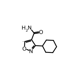 NC(=O)c1[c]onc1C1CCCCC1